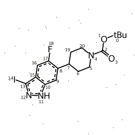 CC(C)(C)OC(=O)N1CCC(c2cc3[nH]nc(I)c3cc2F)CC1